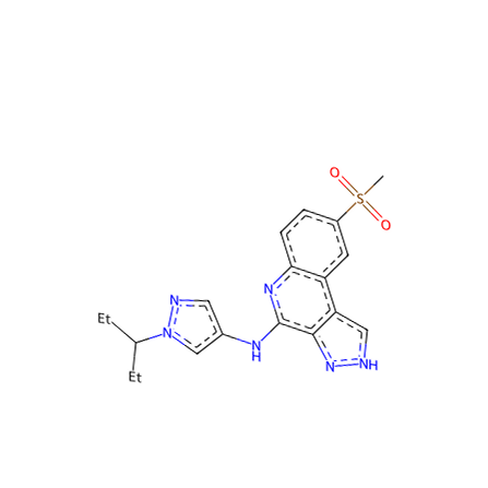 CCC(CC)n1cc(Nc2nc3ccc(S(C)(=O)=O)cc3c3c[nH]nc23)cn1